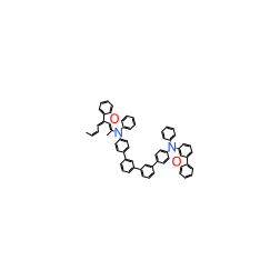 C\C=C/C=c1\c(=C(/C)N(c2ccccc2)c2ccc(-c3cccc(-c4cccc(-c5ccc(N(c6ccccc6)c6cccc7c6oc6ccccc67)cc5)c4)c3)cc2)oc2ccccc12